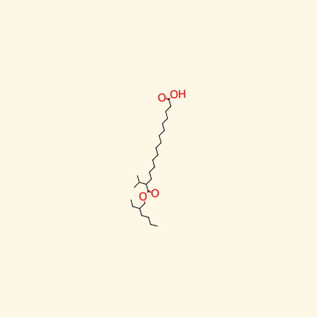 CCCCC(CC)COC(=O)C(CCCCCCCCCCCCCC(=O)O)C(C)C